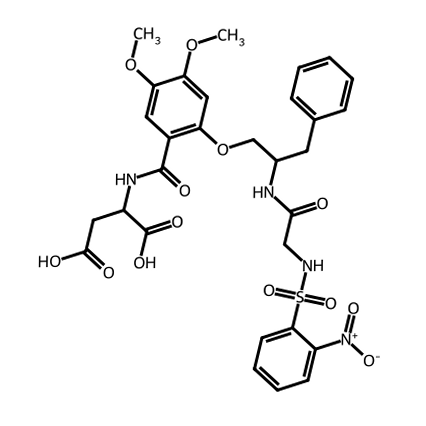 COc1cc(OCC(Cc2ccccc2)NC(=O)CNS(=O)(=O)c2ccccc2[N+](=O)[O-])c(C(=O)NC(CC(=O)O)C(=O)O)cc1OC